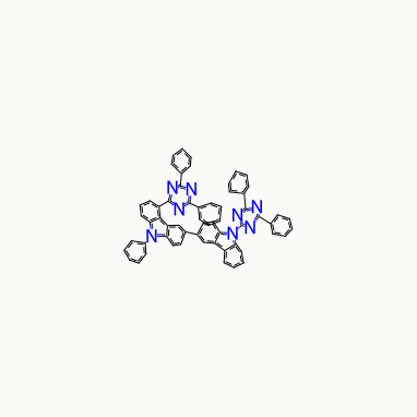 c1ccc(-c2nc(-c3ccccc3)nc(-c3cccc4c3c3cc(-c5ccc6c(c5)c5ccccc5n6-c5nc(-c6ccccc6)nc(-c6ccccc6)n5)ccc3n4-c3ccccc3)n2)cc1